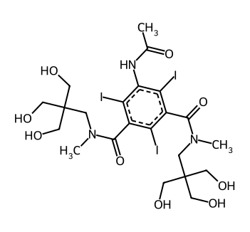 CC(=O)Nc1c(I)c(C(=O)N(C)CC(CO)(CO)CO)c(I)c(C(=O)N(C)CC(CO)(CO)CO)c1I